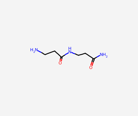 NCCC(=O)NCCC(N)=O